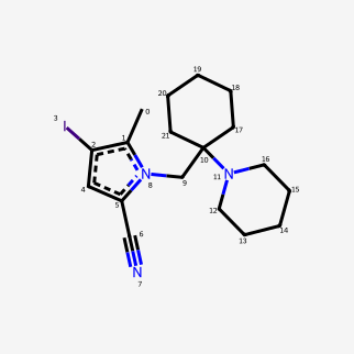 Cc1c(I)cc(C#N)n1CC1(N2CCCCC2)CCCCC1